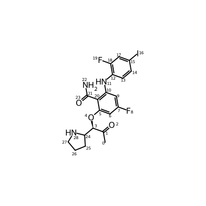 CC(=O)[C@H](Oc1cc(F)cc(Nc2ccc(I)cc2F)c1C(N)=O)C1CCCN1